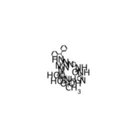 CC(O)C(=O)N[C@H]1C[C@@H](n2cnc3c(NCC(c4ccccc4)c4ccccc4)nc(N4CCC(NC(=O)Nc5cccnc5)C4)nc32)[C@H](O)[C@@H]1O